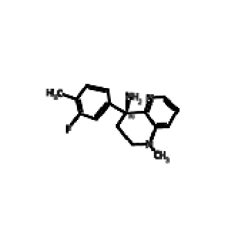 Cc1ccc([C@@]2(N)CCN(C)c3cccnc32)cc1F